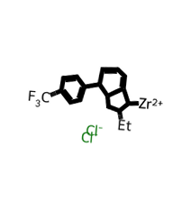 CCC1CC2C(=CC=CC2c2ccc(C(F)(F)F)cc2)[CH]1[Zr+2].[Cl-].[Cl-]